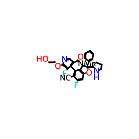 CNC(=O)c1cnc(OCCO)c(F)c1-c1c(C#N)c(F)cc2c1C[C@](c1ccccc1)([C@@H]1CCCN1)O2